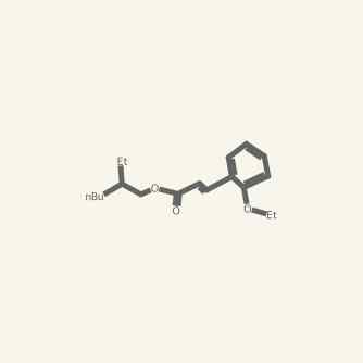 CCCCC(CC)COC(=O)/C=C/c1ccccc1OCC